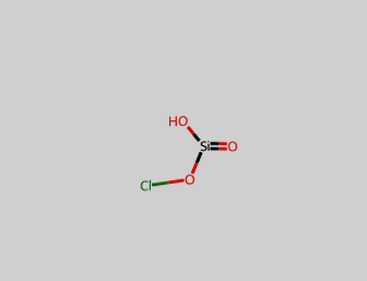 O=[Si](O)OCl